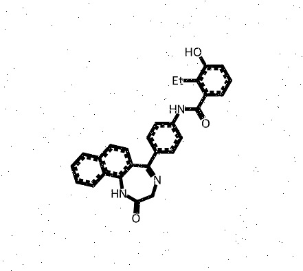 CCc1c(O)cccc1C(=O)Nc1ccc(C2=NCC(=O)Nc3c2ccc2ccccc32)cc1